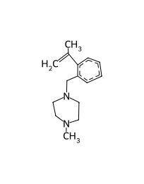 C=C(C)c1ccccc1CN1CCN(C)CC1